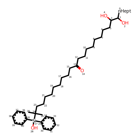 CCCCCCCC(O)C(O)CCCCCCCCC(=O)CCCCCCCCCC(C)(C)[Si](O)(c1ccccc1)c1ccccc1